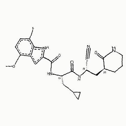 COc1ccc(F)c2[nH]c(C(=O)N[C@@H](CC3CC3)C(=O)N[C@H](C#N)C[C@@H]3CCCNC3=O)cc12